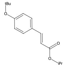 CC(C)OC(=O)/C=C/c1ccc(OC(C)(C)C)cc1